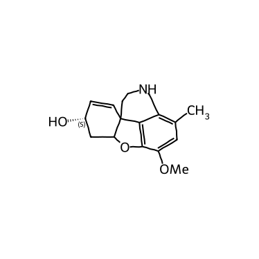 COc1cc(C)c2c3c1OC1C[C@H](O)C=CC31CCNC2